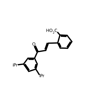 CC(C)c1cc(C(=O)C=Cc2ccccc2C(=O)O)cc(C(C)C)c1